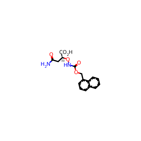 NC(=O)C[C@H](ONC(=O)OCc1cccc2ccccc12)C(=O)O